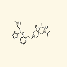 CNCC[C@@H](Oc1ccccc1CCN1CC[C@@]2(CN(C(C)C)C(=O)[C@@H](C)O2)[C@H](F)C1)c1cccs1